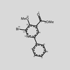 COC(=O)c1cc(-c2ccccc2)nc(Br)c1OC